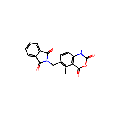 Cc1c(CN2C(=O)c3ccccc3C2=O)ccc2[nH]c(=O)oc(=O)c12